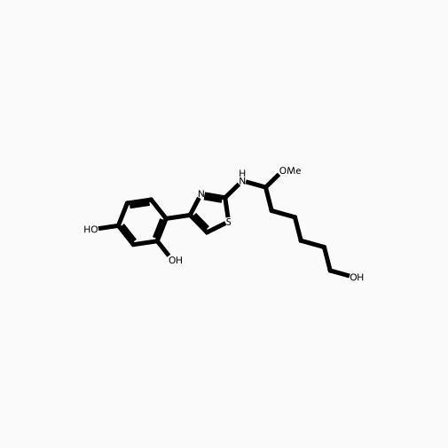 COC(CCCCCO)Nc1nc(-c2ccc(O)cc2O)cs1